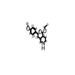 CCOC(=O)C1CCNCC1CCc1ccc(OC)cc1